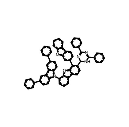 c1ccc(C2=NC(c3ccc4c(oc5c(-n6c7ccc(-c8ccccc8)cc7c7cc(-c8ccccc8)ccc76)cccc54)c3-c3ccc4c(c3)oc3ccccc34)NC(c3ccccc3)=N2)cc1